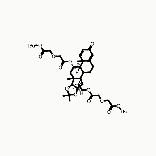 CC(C)(C)OC(=O)COCC(=O)OCC(=O)[C@@]12OC(C)(C)O[C@@H]1CC1C3CCC4=CC(=O)C=CC4(C)[C@@]3(F)[C@@H](OC(=O)COCC(=O)OC(C)(C)C)CC12C